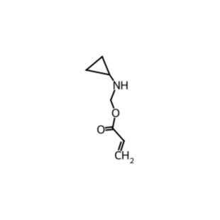 C=CC(=O)OCNC1CC1